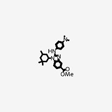 COC(=O)c1ccc2c(c1)nc(Nc1ccc(N(C)C)cc1)n2C1CC(C)CC(C)(C)C1